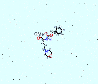 COC(=O)[C@H](CCCN1CCOCC1)NC(=O)OCc1ccccc1